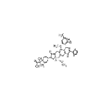 C=C(F)/C=C\C(=C(/C)Cl)[C@@H]1N=C(c2nccs2)NC(CN2CCN3C(=O)N(c4ccc(C(C)(C)C(=O)O)cc4)C[C@@H]3[C@H]2COC)=C1C(=O)OC